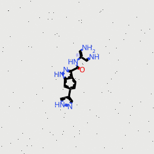 N=C/C(=C\N)NC(=O)c1n[nH]c2cc(-c3cn[nH]c3)ccc12